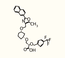 Cc1oc(-c2ccc3ccccc3c2)nc1CO[C@H]1CCC[C@@H](OC[C@@H](OCc2ccc(C(F)(F)F)cc2)C(=O)O)C1